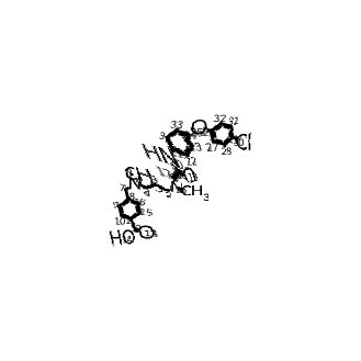 CN(CCCN(C)Cc1ccc(C(=O)O)cc1)CC(=O)Nc1ccc(Oc2ccc(Cl)cc2)cc1